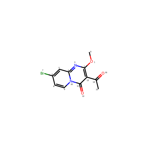 COc1nc2cc(Br)ccn2c(=O)c1C(C)=O